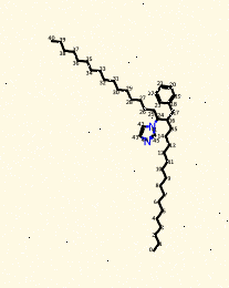 CCCCCCCCCCCCCCCCC(Cc1ccccc1)C(CCCCCCCCCCCCCCCC)n1ccnc1